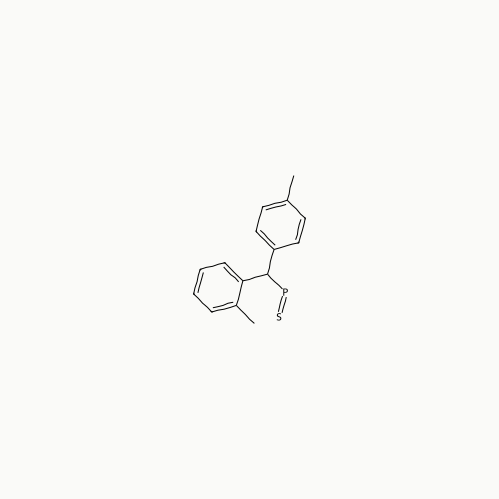 Cc1ccc(C(P=S)c2ccccc2C)cc1